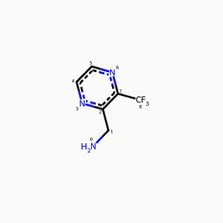 NCc1nccnc1C(F)(F)F